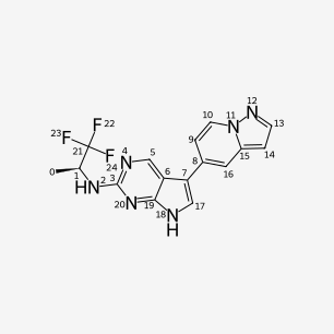 C[C@H](Nc1ncc2c(-c3ccn4nccc4c3)c[nH]c2n1)C(F)(F)F